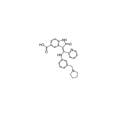 O=C1Nc2ccc(C(=O)O)cc2C1=C(Nc1cccc(CN2CCCC2)c1)c1ccccn1